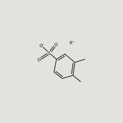 Cc1ccc(S(=O)(=O)[O-])cc1C.[K+]